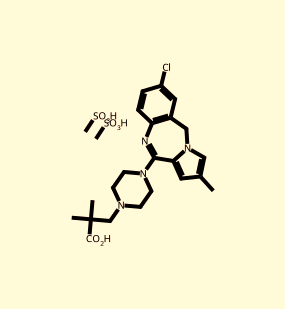 CS(=O)(=O)O.CS(=O)(=O)O.Cc1cc2n(c1)Cc1cc(Cl)ccc1N=C2N1CCN(CC(C)(C)C(=O)O)CC1